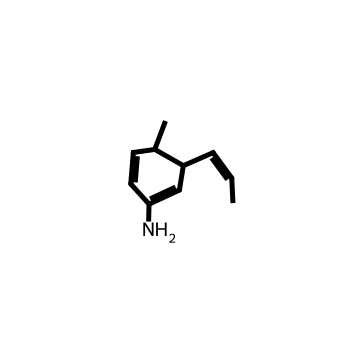 C/C=C\C1C=C(N)C=CC1C